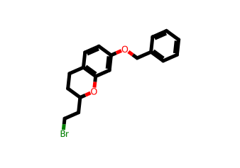 BrCCC1CCc2ccc(OCc3ccccc3)cc2O1